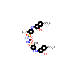 Cc1cc(Nc2cc(O)c3cc(S(=O)(=O)O)ccc3c2)ccc1S(=O)(=O)NC(=O)NS(=O)(=O)c1ccc(Nc2cc(O)c3cc(S(=O)(=O)O)ccc3c2)cc1C